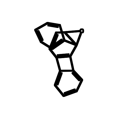 C1=CC2OC2(c2ccccc2)C2=C1c1ccccc12